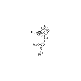 COc1cc(CCC(=O)O[C@@H]2CC[C@]3(CO3)[C@@H](C3(C)OC3CC=C(C)C)[C@@H]2OC)ccc1OCCOC(C)C